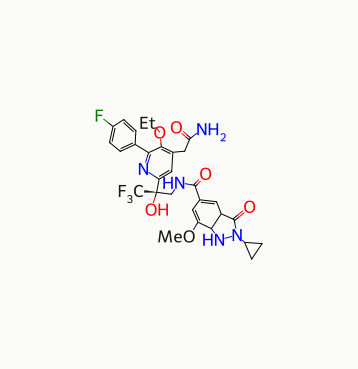 CCOc1c(CC(N)=O)cc([C@@](O)(CNC(=O)C2=CC3C(=O)N(C4CC4)NC3C(OC)=C2)C(F)(F)F)nc1-c1ccc(F)cc1